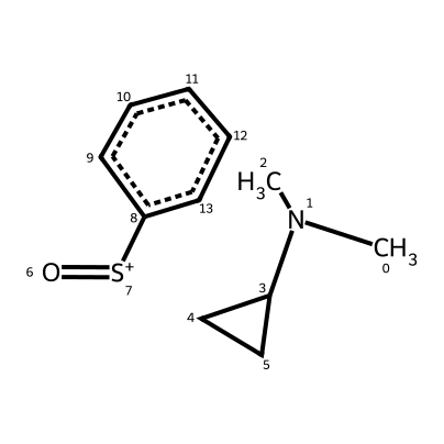 CN(C)C1CC1.O=[S+]c1ccccc1